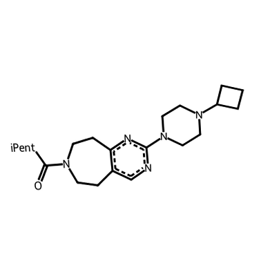 CCCC(C)C(=O)N1CCc2cnc(N3CCN(C4CCC4)CC3)nc2CC1